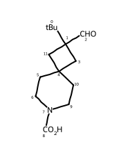 CC(C)(C)C1(C=O)CC2(CCN(C(=O)O)CC2)C1